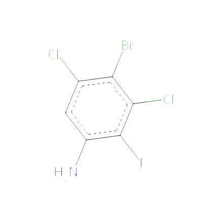 Nc1cc(Cl)c(Br)c(Cl)c1I